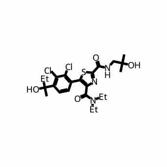 CCN(CC)C(=O)c1nc(C(=O)NCC(C)(C)O)sc1-c1ccc(C(C)(O)CC)c(Cl)c1Cl